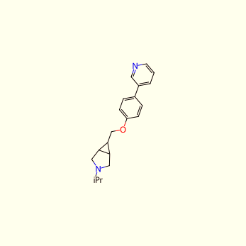 CC(C)N1CC2C(COc3ccc(-c4cccnc4)cc3)C2C1